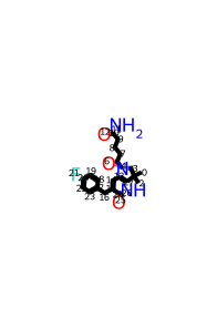 CC1(C)CN(C(=O)CCCC(N)=O)c2cc(Cc3ccc(F)cc3)c(=O)[nH]c21